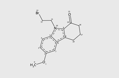 COc1ccc2c(c1)c1c(n2CCBr)C(=O)CCC1